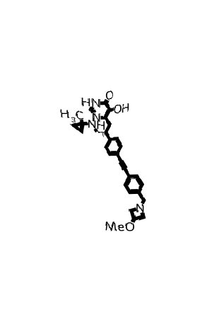 COC1CN(Cc2ccc(C#Cc3ccc([C@H](CNC4(C)CC4)Cc4nc[nH]c(=O)c4O)cc3)cc2)C1